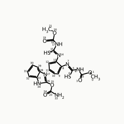 COC(=O)NC(S)=Nc1ccccc1N=C(S)NC(=O)OC.NC(=O)Oc1nc2ccccc2[nH]1